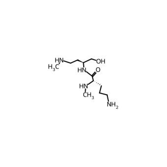 CNCC[C@@H](CO)NC(=O)[C@H](CCCN)NC